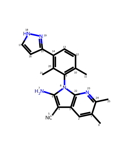 Cc1cc2c(C#N)c(N)n(-c3c(C)ccc(-c4cc[nH]n4)c3C)c2nc1C